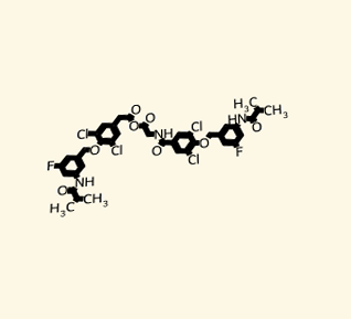 CC(C)C(=O)Nc1cc(F)cc(COc2c(Cl)cc(CC(=O)OC(=O)CNC(=O)c3cc(Cl)c(OCc4cc(F)cc(NC(=O)C(C)C)c4)c(Cl)c3)cc2Cl)c1